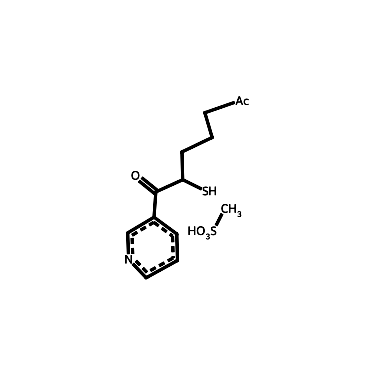 CC(=O)CCCC(S)C(=O)c1cccnc1.CS(=O)(=O)O